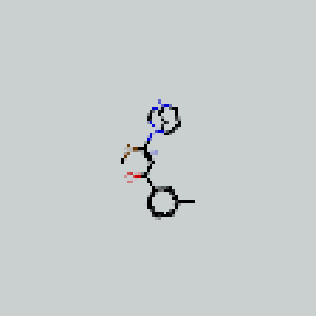 CS/C(=C\C(=O)c1cccc(C)c1)N1CCN2CCC1CC2